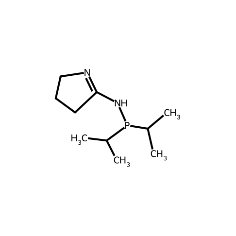 CC(C)P(NC1=NCCC1)C(C)C